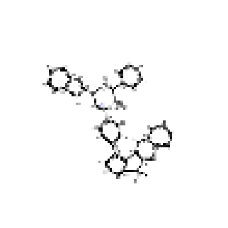 CC1(C)c2cc3ccccc3cc2-c2c(-c3ccc(/C=C/C(NC(N)c4ccccc4)c4cc5ccccc5s4)cc3)cccc21